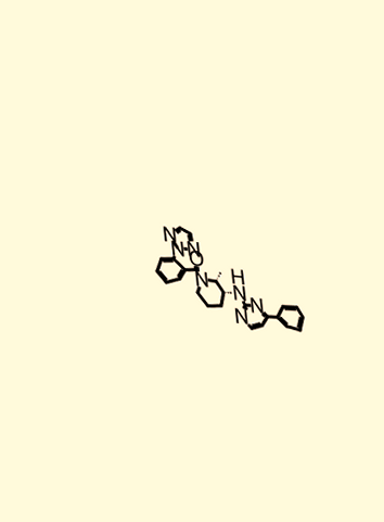 C[C@@H]1[C@H](Nc2nccc(-c3ccccc3)n2)CCCN1C(=O)c1ccccc1-n1nccn1